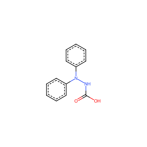 O=C(O)NN(c1ccccc1)c1ccccc1